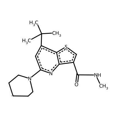 CNC(=O)c1csc2c(C(C)(C)C)cc(N3CC[CH]CC3)nc12